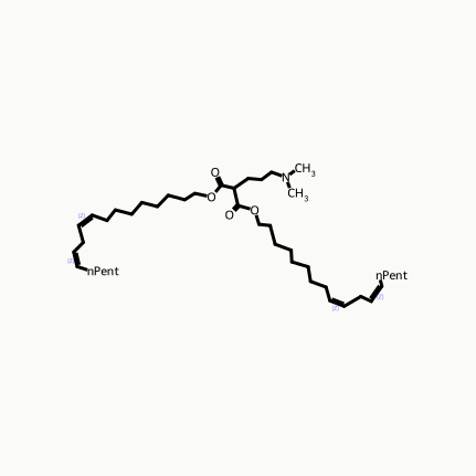 CCCCC/C=C\C/C=C\CCCCCCCCOC(=O)C(CCCN(C)C)C(=O)OCCCCCCCC/C=C\C/C=C\CCCCC